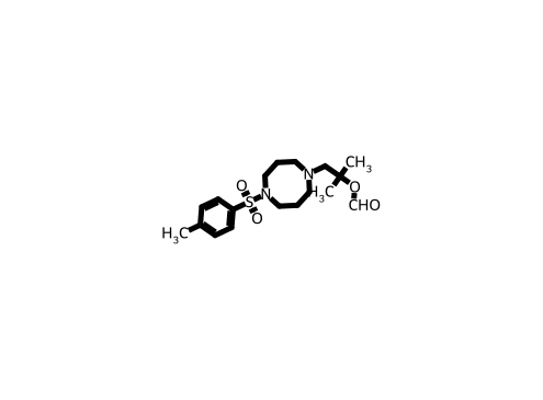 Cc1ccc(S(=O)(=O)N2CCCN(CC(C)(C)OC=O)CCC2)cc1